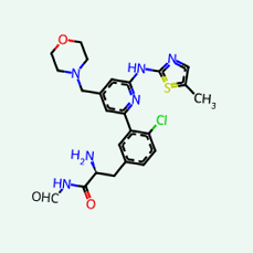 Cc1cnc(Nc2cc(CN3CCOCC3)cc(-c3cc(C[C@H](N)C(=O)NC=O)ccc3Cl)n2)s1